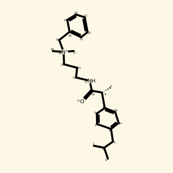 CC(C)Cc1ccc([C@@H](C)C(=O)NCCC[N+](C)(C)Cc2ccccc2)cc1